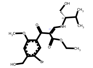 CCOC(=O)/C(=C\N[C@H](CO)C(C)C)C(=O)c1cc(Br)c(CO)cc1OC